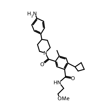 COCCNC(=O)c1cc(C(=O)N2CCC(c3ccc(N)cc3)CC2)c(C)cc1C1CCC1